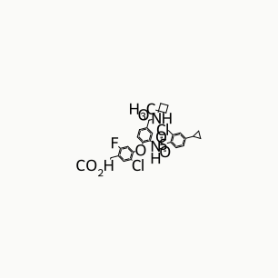 CC1(NC(=O)c2ccc(Oc3cc(F)c(CC(=O)O)cc3Cl)c(NS(=O)(=O)c3ccc(C4CC4)cc3Cl)c2)CCC1